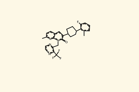 Cc1ccc2cc(C3CCC(c4c(C)cccc4F)CC3)c(=O)n(Cc3nccnc3C(F)(F)F)c2n1